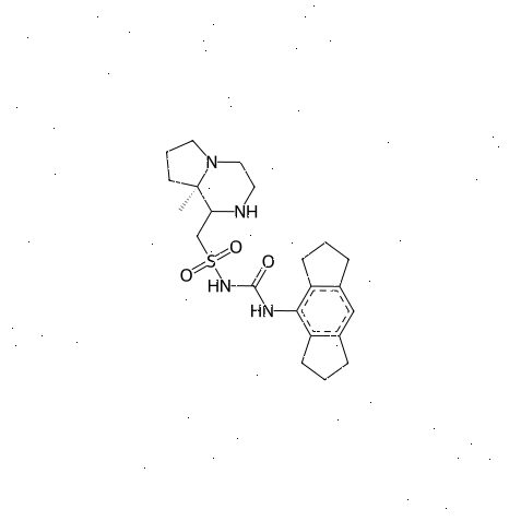 C[C@]12CCCN1CCNC2CS(=O)(=O)NC(=O)Nc1c2c(cc3c1CCC3)CCC2